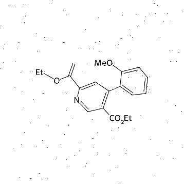 C=C(OCC)c1cc(-c2ccccc2OC)c(C(=O)OCC)cn1